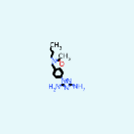 CCCCN(Cc1ccc(-n2nc(N)nc2N)cc1)C(C)=O